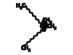 C=C[Si](OCCCCCCCCCCCC)(OCCCCCCCCCCCC)OOC